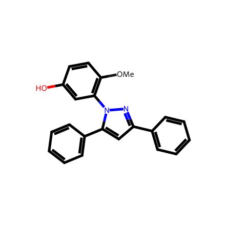 COc1ccc(O)cc1-n1nc(-c2ccccc2)cc1-c1ccccc1